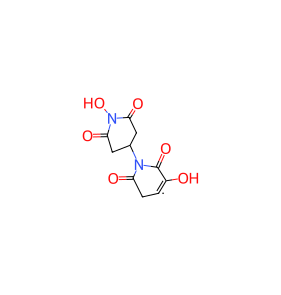 O=C1CC(N2C(=O)C[C]=C(O)C2=O)CC(=O)N1O